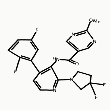 COc1ncc(C(=O)Nc2c(-c3cc(F)ccc3F)ccnc2N2CCC(F)(F)C2)cn1